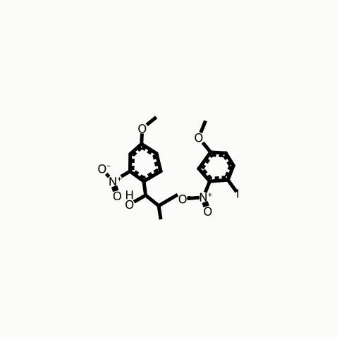 COc1ccc(C(O)C(C)C)c([N+](=O)[O-])c1.COc1ccc(I)c([N+](=O)[O-])c1